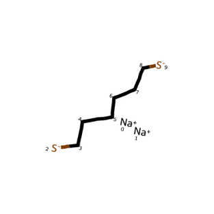 [Na+].[Na+].[S-]CCCCCC[S-]